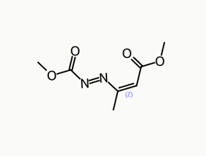 COC(=O)/C=C(/C)N=NC(=O)OC